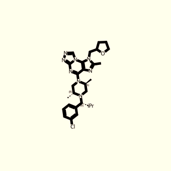 Cc1nc2c(N3C[C@@H](C)N([C@@H](c4cccc(Cl)c4)C(C)C)C[C@@H]3C)nc3nncn3c2n1CC1CCCO1